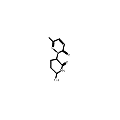 Cc1ccc(=O)n(C2CCC(O)NC2=O)n1